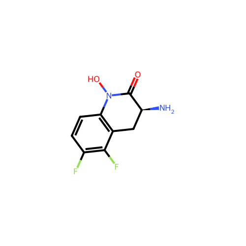 N[C@H]1Cc2c(ccc(F)c2F)N(O)C1=O